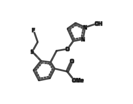 COC(=O)c1cccc(SCF)c1COc1ccn(O)n1